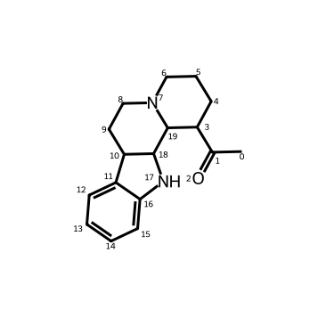 CC(=O)C1CCCN2CCC3c4ccccc4NC3C12